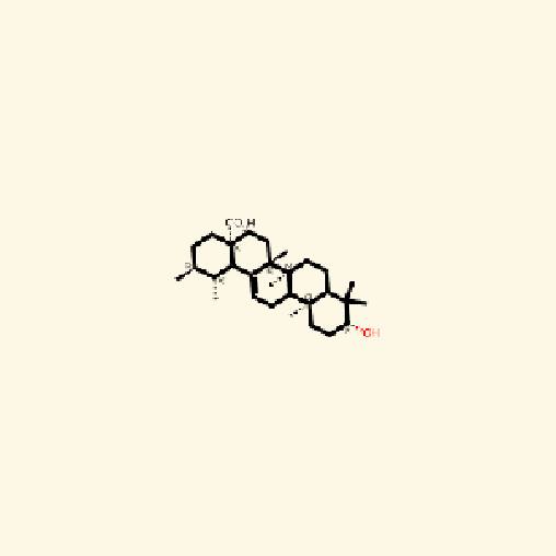 C[C@H]1CC[C@@]2(C(=O)O)CC[C@@]3(C)C(=CCC4[C@]5(C)CC[C@@H](O)C(C)(C)C5CC[C@@]43C)C2[C@@H]1C